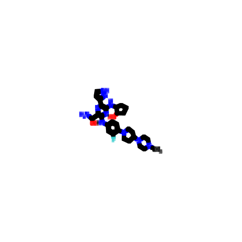 CN1CCN(C2CCN(c3ccc(Nc4nc(NC5CCCC5O)c(-c5cc[nH]n5)nc4C(N)O)cc3F)CC2)CC1